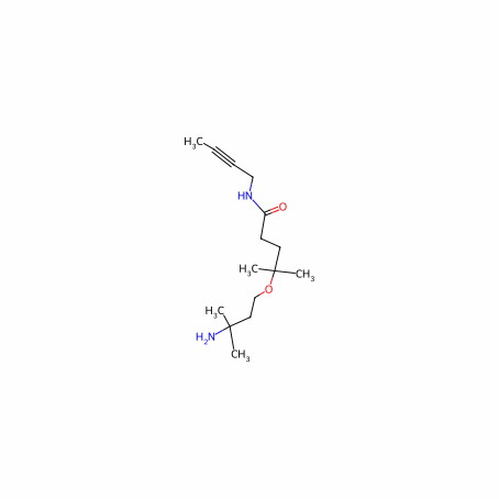 CC#CCNC(=O)CCC(C)(C)OCCC(C)(C)N